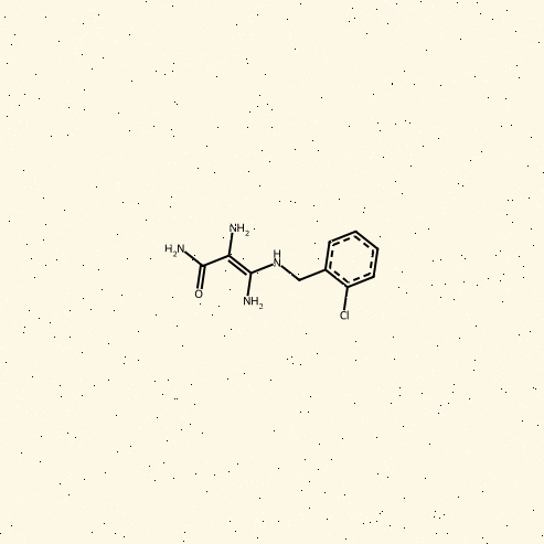 NC(=O)/C(N)=C(\N)NCc1ccccc1Cl